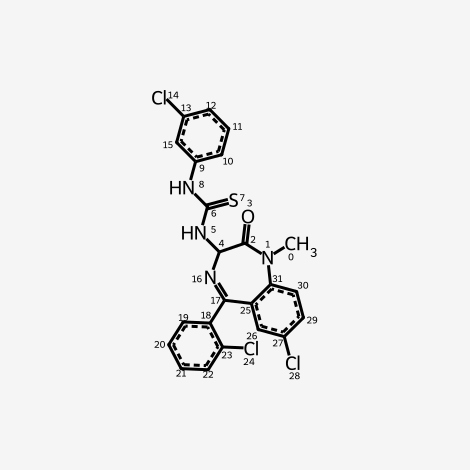 CN1C(=O)C(NC(=S)Nc2cccc(Cl)c2)N=C(c2ccccc2Cl)c2cc(Cl)ccc21